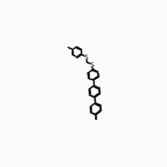 Cc1ccc(SCSc2ccc(-c3ccc(-c4ccc(C)cc4)cc3)cc2)cc1